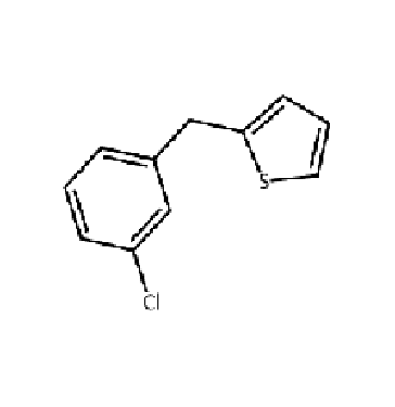 Clc1cccc(Cc2cccs2)c1